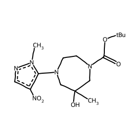 Cn1ncc([N+](=O)[O-])c1N1CCN(C(=O)OC(C)(C)C)CC(C)(O)C1